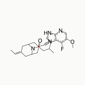 CC=C1CC2CC(C#N)CC(C1)N2C(=O)CC(C)c1c[nH]c2ncc(OC)c(F)c12